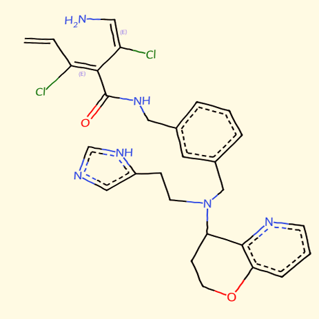 C=C/C(Cl)=C(C(=O)NCc1cccc(CN(CCc2cnc[nH]2)C2CCOc3cccnc32)c1)\C(Cl)=C/N